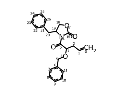 C=CCC(OCc1ccccc1)C(=O)N1C(=O)OCC1Cc1ccccc1